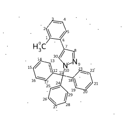 Cc1ccccc1-c1cnn(C(c2ccccc2)(c2ccccc2)c2ccccc2)c1